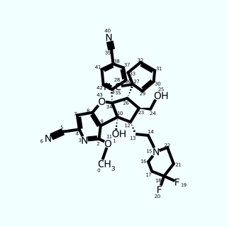 COc1nc(C#N)cc2c1[C@]1(O)[C@@H](CCN3CCC(F)(F)CC3)[C@H](CO)[C@@H](C3(C)C=CC=CC3)[C@]1(c1ccc(C#N)cc1)O2